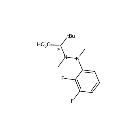 CN(c1cccc(F)c1F)N(C)[C@H](C(=O)O)C(C)(C)C